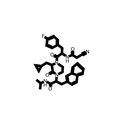 CC(C)NC(=O)C(Cc1ccc2ccccc2c1)N1CCN(C(=O)C(Cc2ccc(F)cc2)NC(=O)CC#N)C(CC2CC2)C1=O